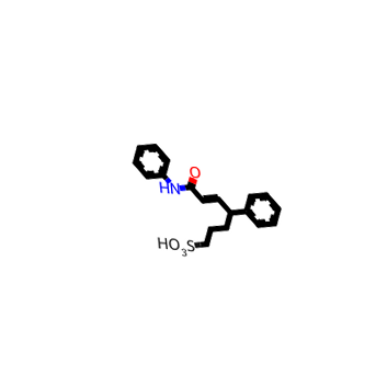 O=C(C=CC(CCCS(=O)(=O)O)c1ccccc1)Nc1ccccc1